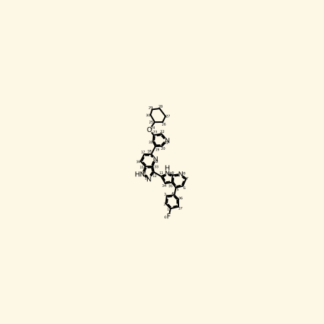 Fc1ccc(-c2ccnc3[nH]c(-c4n[nH]c5ccc(-c6cncc(OC7CCCCC7)c6)nc45)cc23)cc1